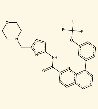 O=C(Nc1nc(CN2CCOCC2)cs1)c1ccc2cccc(-c3cccc(OC(F)(F)F)c3)c2n1